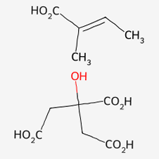 CC=C(C)C(=O)O.O=C(O)CC(O)(CC(=O)O)C(=O)O